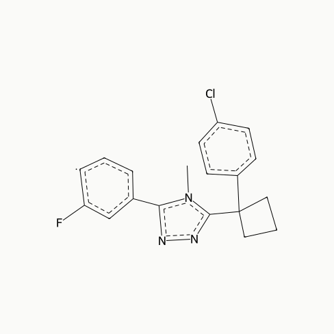 Cn1c(-c2cc[c]c(F)c2)nnc1C1(c2ccc(Cl)cc2)CCC1